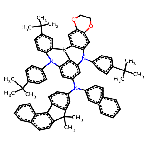 CC(C)(C)c1ccc(N2c3ccc(C(C)(C)C)cc3B3c4cc5c(cc4N(c4ccc(C(C)(C)C)cc4)c4cc(N(c6ccc7c(c6)C(C)(C)c6ccc8ccccc8c6-7)c6ccc7ccccc7c6)cc2c43)OCCO5)cc1